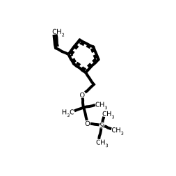 C=Cc1cccc(COC(C)(C)O[Si](C)(C)C)c1